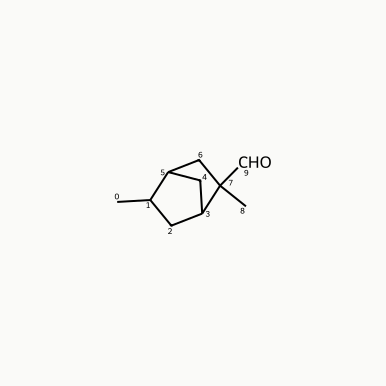 CC1CC2CC1CC2(C)C=O